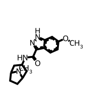 COc1ccc2c(C(=O)NC3CC4CCC(C3)N4C)n[nH]c2c1